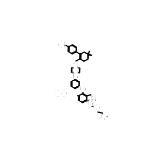 CC1(C)CCC(CN2CCN(c3ccc(C(=O)O)c(Oc4cccc5c4cnn5COCC[Si](C)(C)C)c3)CC2)=C(c2ccc(Cl)cc2)C1